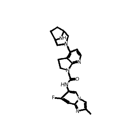 Cc1cn2cc(NC(=O)N3CCc4c(N5CC6CCC(C5)N6)ccnc43)c(F)cc2n1